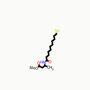 COC(=O)CC(C)NC(=O)CCCCCCCCCCS